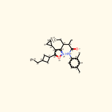 Cc1ccc(NC(=O)C(C)C(CC(=O)O)c2noc(C3CC(CC(C)C)C3)c2C2CC2)c(C)c1